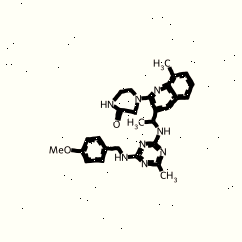 COc1ccc(CNc2nc(C)nc(NC(C)c3cc4cccc(C)c4nc3N3CCNC(=O)C3)n2)cc1